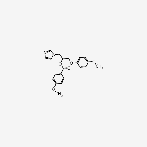 COc1ccc(OCC(Cn2ccnc2)OC(=O)c2ccc(OC)cc2)cc1